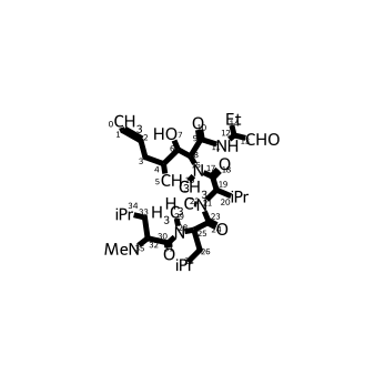 C/C=C/CC(C)C(O)C(C(=O)NC(C=O)CC)N(C)C(=O)C(C(C)C)N(C)C(=O)C(CC(C)C)N(C)C(=O)C(CC(C)C)NC